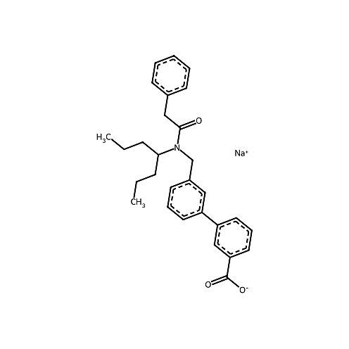 CCCC(CCC)N(Cc1cccc(-c2cccc(C(=O)[O-])c2)c1)C(=O)Cc1ccccc1.[Na+]